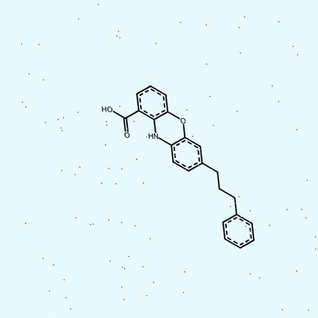 O=C(O)c1cccc2c1Nc1ccc(CCCc3ccccc3)cc1O2